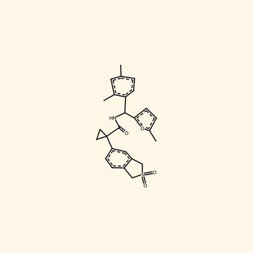 Cc1ccc(C(NC(=O)C2(c3ccc4c(c3)CS(=O)(=O)C4)CC2)c2ccc(C)o2)c(C)c1